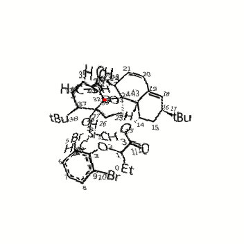 CCC(Oc1c(Br)cccc1Br)C(=O)O[C@H]1C[C@H](C(C)(C)C)C=C2C=C[C@H](C)[C@](CCC3(O[SiH](C)C)C(=O)OCCC3C(C)(C)C)(O[SiH](C)C)[C@H]21